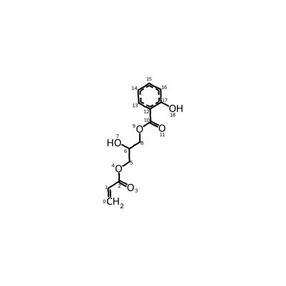 C=CC(=O)OCC(O)COC(=O)c1ccccc1O